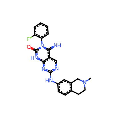 CN1CCc2ccc(Nc3ncc4c(=N)n(-c5ccccc5F)c(=O)[nH]c4n3)cc2C1